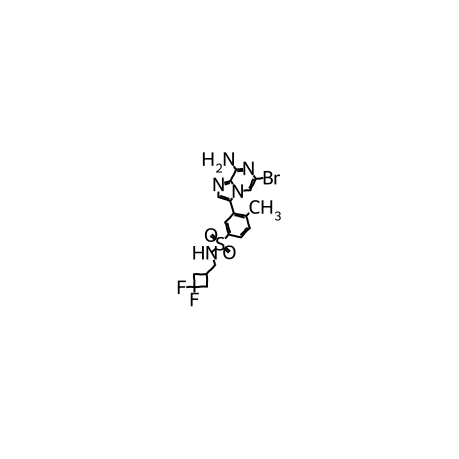 Cc1ccc(S(=O)(=O)NCC2CC(F)(F)C2)cc1-c1cnc2c(N)nc(Br)cn12